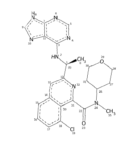 C[C@H](Nc1ncnc2[nH]cnc12)c1cc2cccc(Cl)c2c(C(=O)N(C)C2CCOCC2)n1